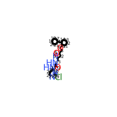 O=C(NCC1=NOC(COc2ccccc2-c2ccccc2)C1)Nc1ccnc(Cl)n1